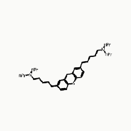 CCCN(CCC)CCCCCc1ccc2c(c1)Cc1cc(CCCCCN(CCC)CCC)ccc1S2